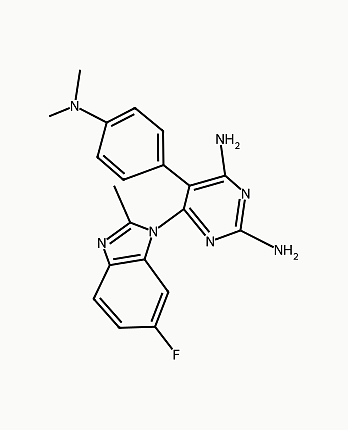 Cc1nc2ccc(F)cc2n1-c1nc(N)nc(N)c1-c1ccc(N(C)C)cc1